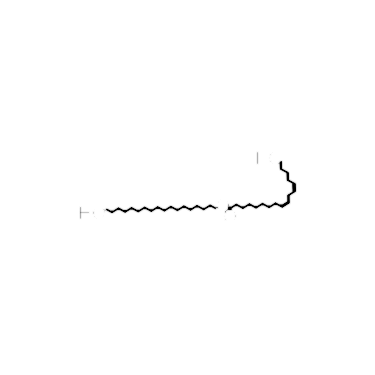 CCCCC/C=C\C/C=C\CCCCCCCC(=O)OCCCCCCCCCCCCCCCCCCO